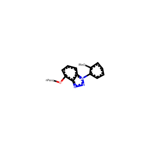 CCCCCOc1cccc2c1nnn2-c1ccccc1OC